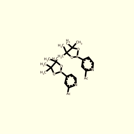 CC(=O)c1cc(B2OC(C)(C)C(C)(C)O2)ccn1.CC(=O)c1cc(B2OC(C)(C)C(C)(C)O2)ccn1